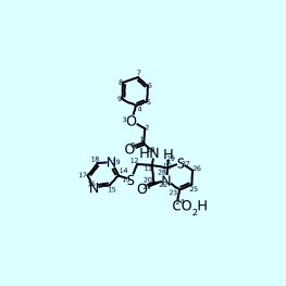 O=C(COc1ccccc1)NC1(CSc2cnccn2)C(=O)N2C(C(=O)O)=CCS[C@H]21